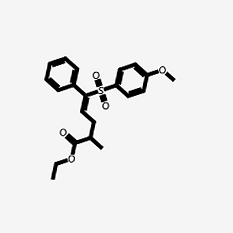 CCOC(=O)C(C)CC=C(c1ccccc1)S(=O)(=O)c1ccc(OC)cc1